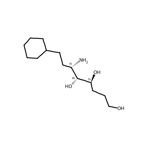 N[C@@H](CCC1CCCCC1)[C@@H](O)[C@@H](O)CCCO